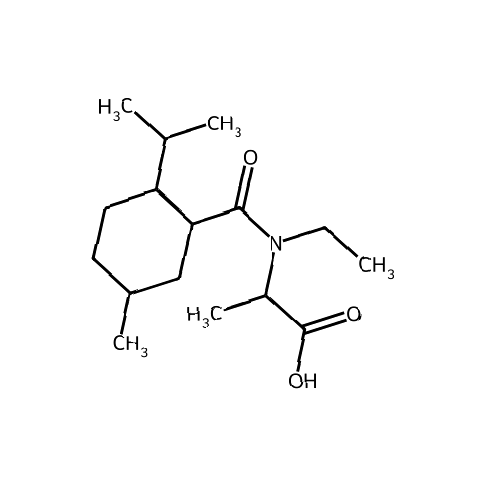 CCN(C(=O)C1CC(C)CCC1C(C)C)C(C)C(=O)O